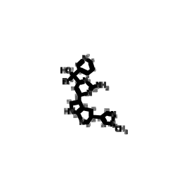 CCC(O)(c1cccnc1)c1cc(-c2c[nH]c3ncc(-c4cnn(C)c4)cc23)nc(N)n1